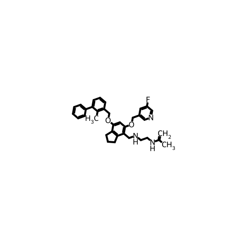 C=C(C)NCCNCc1c(OCc2cncc(F)c2)cc(OCc2cccc(-c3ccccc3)c2C)c2c1CCC2